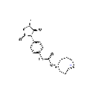 CC1CC(=O)N(c2ccc(NC(=O)O[C@H]3CC/C=C/CCC3)cc2)C1=O